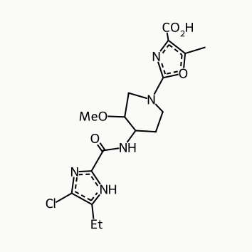 CCc1[nH]c(C(=O)NC2CCN(c3nc(C(=O)O)c(C)o3)CC2OC)nc1Cl